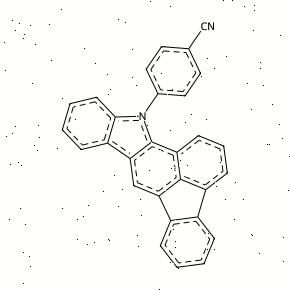 N#Cc1ccc(-n2c3ccccc3c3cc4c5c(cccc5c32)-c2ccccc2-4)cc1